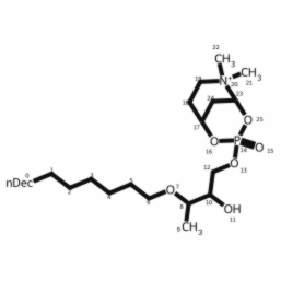 CCCCCCCCCCCCCCCCOC(C)C(O)COP1(=O)OC2CC[N+](C)(C)C(C2)O1